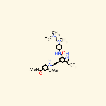 CNC(=O)c1ccc(NCC#Cc2cc(C(=O)NC3CCC(N(C)CCN(C)C)CC3)c3[nH]cc(CC(F)(F)F)c3c2)c(OC)c1